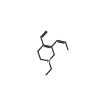 C=CC1=C(/C=C\C)CN(CC)CC1